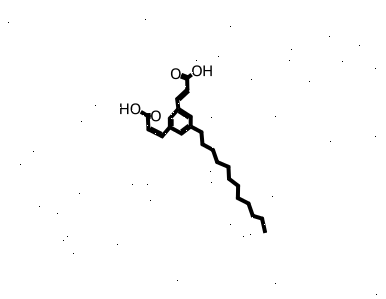 CCCCCCCCCCCCc1cc(/C=C\C(=O)O)cc(/C=C/C(=O)O)c1